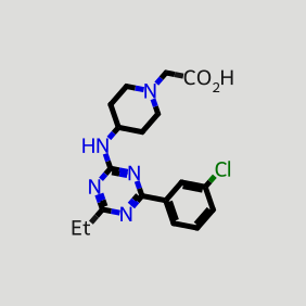 CCc1nc(NC2CCN(CC(=O)O)CC2)nc(-c2cccc(Cl)c2)n1